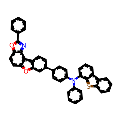 c1ccc(-c2nc3c(ccc4oc5cc(-c6ccc(N(c7ccccc7)c7cccc8c7sc7ccccc78)cc6)ccc5c43)o2)cc1